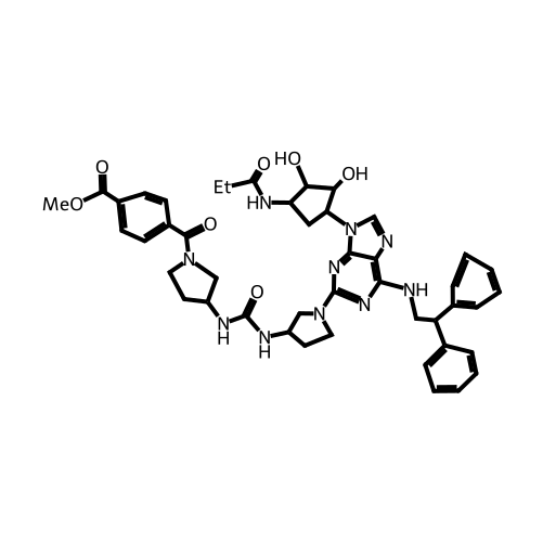 CCC(=O)NC1CC(n2cnc3c(NCC(c4ccccc4)c4ccccc4)nc(N4CCC(NC(=O)NC5CCN(C(=O)c6ccc(C(=O)OC)cc6)C5)C4)nc32)C(O)C1O